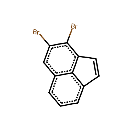 Brc1cc2cccc3c2c(c1Br)C=C3